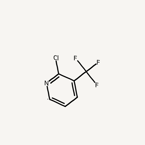 FC(F)(F)c1cc[c]nc1Cl